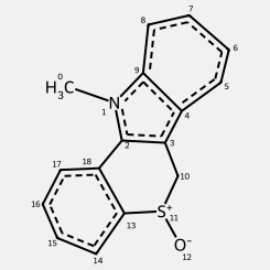 Cn1c2c(c3ccccc31)C[S+]([O-])c1ccccc1-2